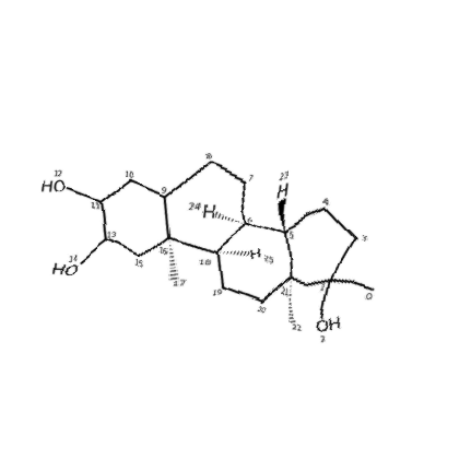 CC1(O)CC[C@H]2[C@@H]3CCC4CC(O)C(O)C[C@]4(C)[C@@H]3CC[C@@]21C